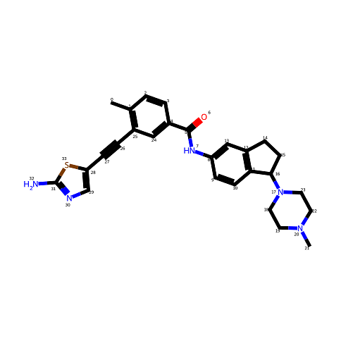 Cc1ccc(C(=O)Nc2ccc3c(c2)CCC3N2CCN(C)CC2)cc1C#Cc1cnc(N)s1